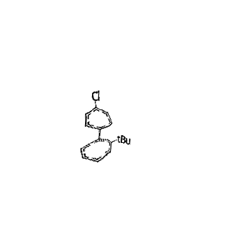 CC(C)(C)c1ccccc1-c1ccc(Cl)cc1